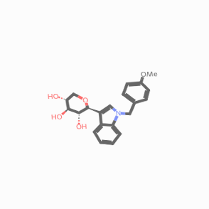 COc1ccc(Cn2cc([C@@H]3OC[C@@H](O)[C@H](O)[C@H]3O)c3ccccc32)cc1